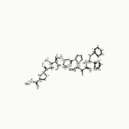 CC[C@H](C)[C@@H]([C@@H](CC(=O)N1CCC[C@H]1[C@H](OC)C(C)C(=O)N[C@@H](Cc1ccccc1)c1nccs1)OC)N(C)C(=O)[C@@H](NC(=O)C1CCN(C(=O)OC(C)(C)C)C1)C(C)C